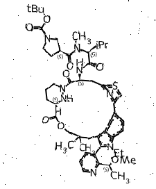 CCn1c(-c2cccnc2[C@H](C)OC)c2c3cc(ccc31)-c1csc(n1)C[C@H](NC(=O)[C@H](C(C)C)N(C)C(=O)[C@H]1CCN(C(=O)OC(C)(C)C)C1)C(=O)N1CCC[C@H](N1)C(=O)OCC(C)(C)C2